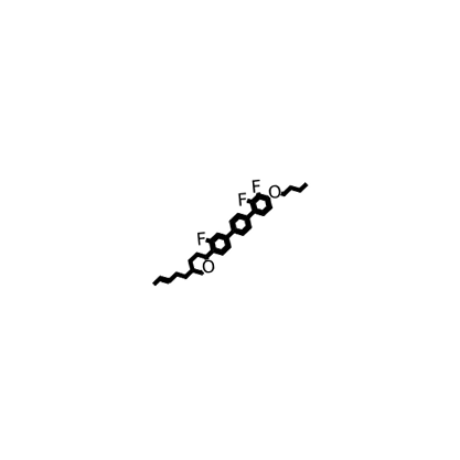 C/C=C/CCC1CCC(c2ccc(-c3ccc(-c4ccc(OCCCC)c(F)c4F)cc3)cc2F)OC1